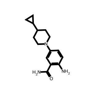 NC(=O)c1cc(N2CCC(C3CC3)CC2)ccc1N